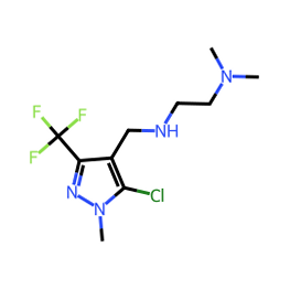 CN(C)CCNCc1c(C(F)(F)F)nn(C)c1Cl